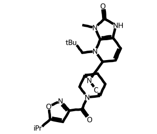 CC(C)c1cc(C(=O)N2CC3CCC2CN3C2C=Cc3[nH]c(=O)n(C)c3N2CC(C)(C)C)no1